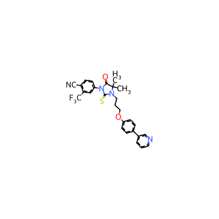 CC1(C)C(=O)N(c2ccc(C#N)c(C(F)(F)F)c2)C(=S)N1CCCOc1ccc(-c2cccnc2)cc1